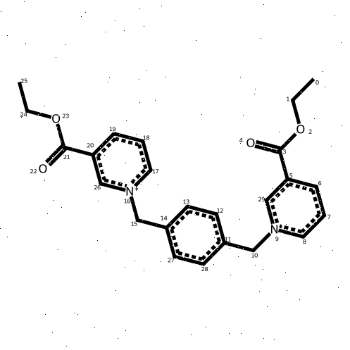 CCOC(=O)c1ccc[n+](Cc2ccc(C[n+]3cccc(C(=O)OCC)c3)cc2)c1